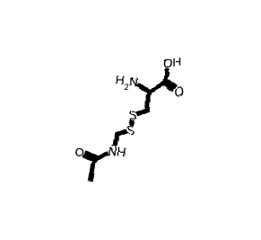 CC(=O)NCSSCC(N)C(=O)O